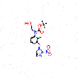 Cc1c(Cn2ccnc2[N+](=O)[O-])cccc1N(CCO)C(=O)OC(C)(C)C